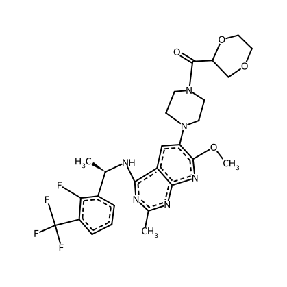 COc1nc2nc(C)nc(N[C@H](C)c3cccc(C(F)(F)F)c3F)c2cc1N1CCN(C(=O)C2COCCO2)CC1